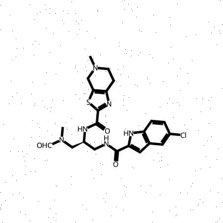 CN(C=O)C[C@H](CNC(=O)c1cc2cc(Cl)ccc2[nH]1)NC(=O)c1nc2c(s1)CN(C)CC2